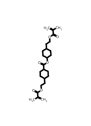 C=C(C)C(=O)OCCC1CCC(OC(=O)C2CCC(CCOC(=O)C(=C)C)CC2)CC1